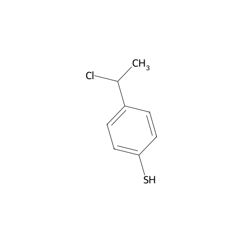 CC(Cl)c1ccc(S)cc1